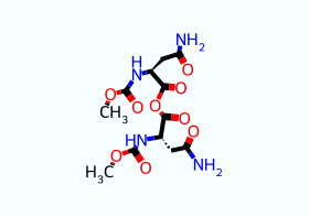 COC(=O)N[C@@H](CC(N)=O)C(=O)OC(=O)[C@H](CC(N)=O)NC(=O)OC